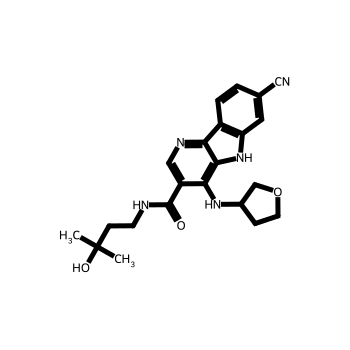 CC(C)(O)CCNC(=O)c1cnc2c([nH]c3cc(C#N)ccc32)c1NC1CCOC1